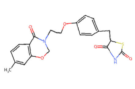 Cc1ccc2c(c1)OCN(CCOc1ccc(CC3SC(=O)NC3=O)cc1)C2=O